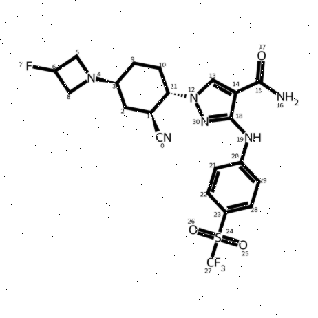 N#C[C@H]1C[C@@H](N2CC(F)C2)CC[C@@H]1n1cc(C(N)=O)c(Nc2ccc(S(=O)(=O)C(F)(F)F)cc2)n1